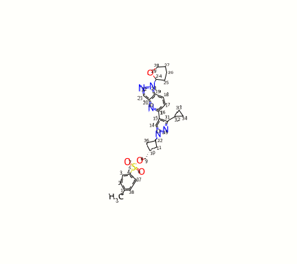 Cc1ccc(S(=O)(=O)OC[C@H]2C[C@H](n3cc(-c4ccc5c(cnn5C5CCCCO5)n4)c(C4CC4)n3)C2)cc1